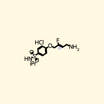 CC(C)NS(=O)(=O)c1ccc(OC/C(F)=C/CN)cc1.Cl